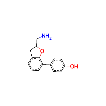 NCC1Cc2cccc(-c3ccc(O)cc3)c2O1